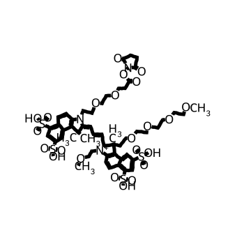 COCCOCCOCCOCCC1(C)C(/C=C/C=C2/N(CCOCCOCCC(=O)ON3C(=O)CCC3=O)c3ccc4c(S(=O)(=O)O)cc(S(=O)(=O)O)cc4c3C2(C)C)=[N+](CCOC)c2ccc3c(S(=O)(=O)O)cc(S(=O)(=O)O)cc3c21